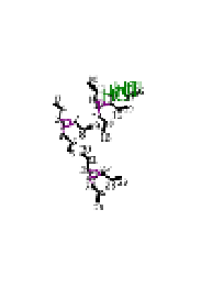 C=CCP(CC=C)CC=C.C=CCP(CC=C)CC=C.C=CCP(CC=C)CC=C.Cl.Cl.Cl